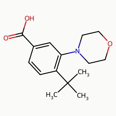 CC(C)(C)c1ccc(C(=O)O)cc1N1CCOCC1